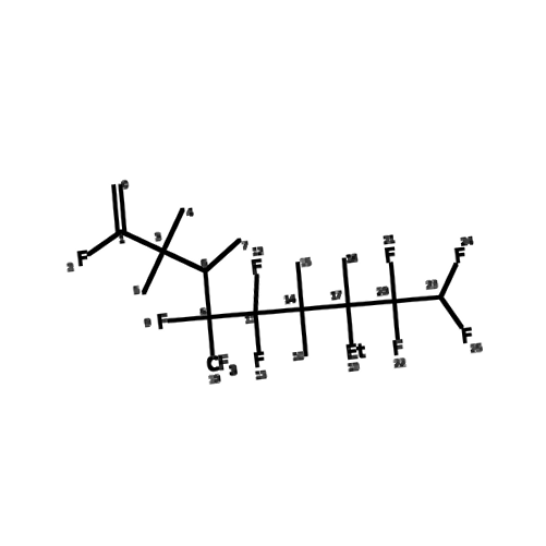 C=C(F)C(C)(C)C(C)C(F)(C(F)(F)F)C(F)(F)C(C)(C)C(C)(CC)C(F)(F)C(F)F